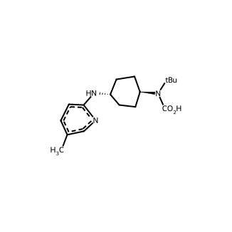 Cc1ccc(N[C@H]2CC[C@H](N(C(=O)O)C(C)(C)C)CC2)nc1